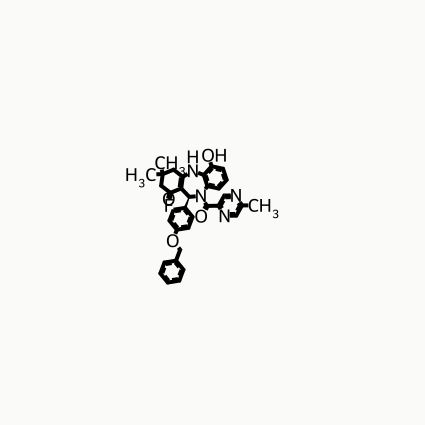 Cc1cnc(C(=O)N2c3cccc(O)c3NC3=C(C(=O)CC(C)(C)C3)[C@@H]2c2ccc(OCc3ccccc3)cc2F)cn1